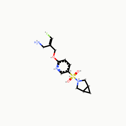 NC/C(=C\F)COc1ccc(S(=O)(=O)N2CC3CC3C2)cn1